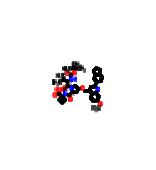 COc1ccc2c(COC3C[C@@H](C(=O)NC4(C(=O)O)CCC4)N(C(=O)[C@@H](NC(=O)OC(C)(C)C)C(C)C)C3)cc(-c3ccc4c(c3)CCC4)nc2c1